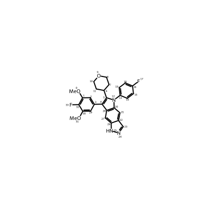 COc1cc(-c2c(C3CCOCC3)n(-c3ccc(F)cc3)c3cc4cn[nH]c4cc23)cc(OC)c1F